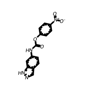 O=C(Nc1ccc2cn[nH]c2c1)Oc1ccc([N+](=O)[O-])cc1